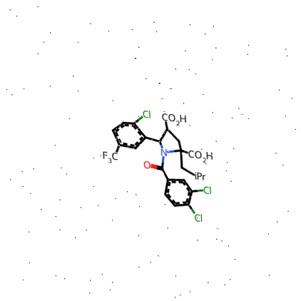 CC(C)CC1(C(=O)O)CC(C(=O)O)C(c2cc(C(F)(F)F)ccc2Cl)N1C(=O)c1ccc(Cl)c(Cl)c1